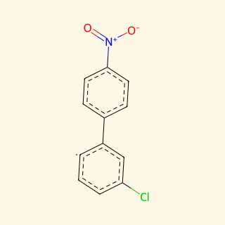 O=[N+]([O-])c1ccc(-c2[c]ccc(Cl)c2)cc1